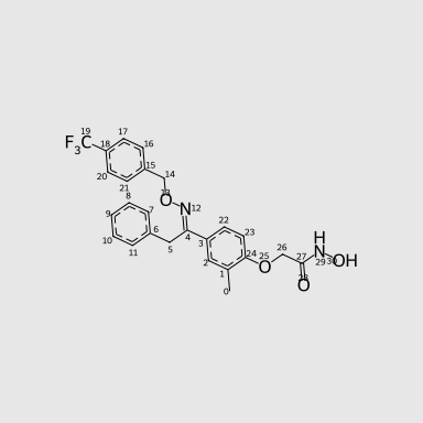 Cc1cc(/C(Cc2ccccc2)=N/OCc2ccc(C(F)(F)F)cc2)ccc1OCC(=O)NO